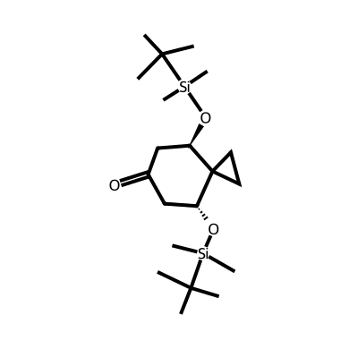 CC(C)(C)[Si](C)(C)O[C@@H]1CC(=O)C[C@@H](O[Si](C)(C)C(C)(C)C)C12CC2